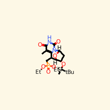 CCOP(=O)(CC1c2c(C)c(=O)[nH]c(=O)n2[C@H]2CC(O[Si](C)(C)C(C)(C)C)[C@@H]1O2)OCC